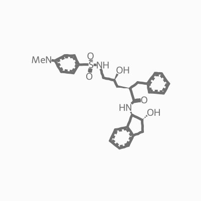 CNc1ccc(S(=O)(=O)NC[C@@H](O)C[C@@H](Cc2ccccc2)C(=O)N[C@H]2c3ccccc3C[C@H]2O)cc1